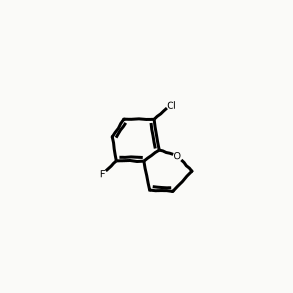 Fc1ccc(Cl)c2c1C=CCO2